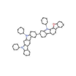 c1ccc(-n2c3ccccc3c3cc4c5cc(-c6ccc7c8ccc9c%10ccccc%10oc9c8n(-c8ccccc8)c7c6)ccc5n(-c5ccccc5)c4cc32)cc1